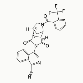 N#Cc1ncc(N2C(=O)[C@@H]3C4C[C@H](CN4C(=O)c4ccccc4C(F)(F)F)N3C2=O)c2ccccc12